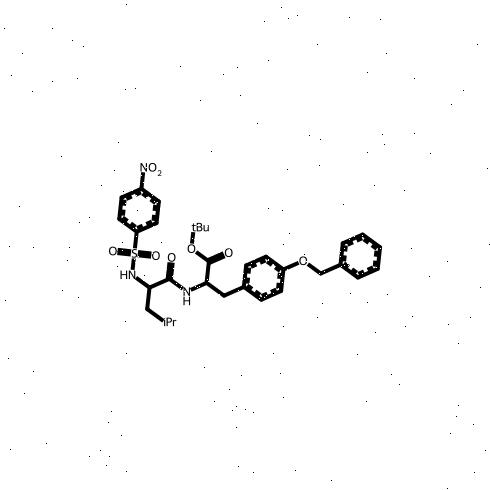 CC(C)CC(NS(=O)(=O)c1ccc([N+](=O)[O-])cc1)C(=O)NC(Cc1ccc(OCc2ccccc2)cc1)C(=O)OC(C)(C)C